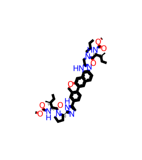 CCCCN(Cc1nc2ccc3cc4c(cc3c2[nH]1)OCc1cc(-c2cnc([C@@H]3CCCN3C(=O)[C@@H](NC(=O)OC)[C@@H](C)CC)[nH]2)ccc1-4)C(=O)[C@@H](NC(=O)OC)[C@@H](C)CC